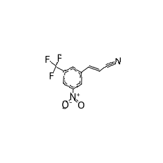 N#CC=Cc1cc([N+](=O)[O-])cc(C(F)(F)F)c1